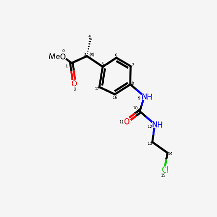 COC(=O)[C@H](C)c1ccc(NC(=O)NCCCl)cc1